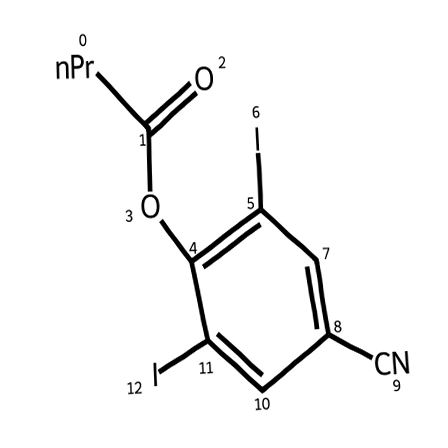 CCCC(=O)Oc1c(I)cc(C#N)cc1I